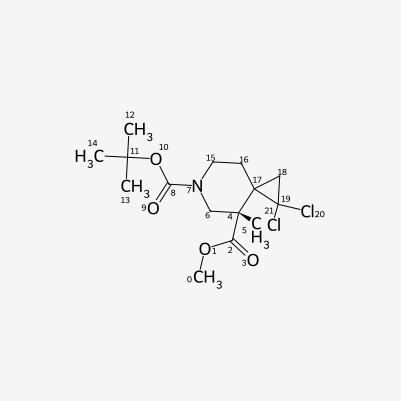 COC(=O)[C@]1(C)CN(C(=O)OC(C)(C)C)CCC12CC2(Cl)Cl